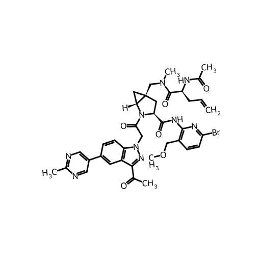 C=CC[C@H](NC(C)=O)C(=O)N(C)C[C@@]12C[C@@H](C(=O)Nc3nc(Br)ccc3COC)N(C(=O)Cn3nc(C(C)=O)c4cc(-c5cnc(C)nc5)ccc43)[C@@H]1C2